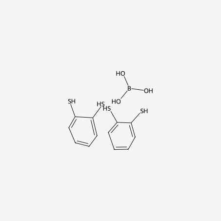 OB(O)O.Sc1ccccc1S.Sc1ccccc1S